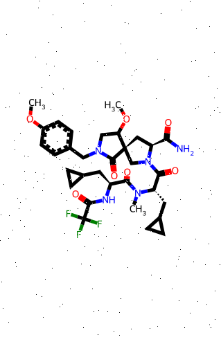 COc1ccc(CN2CC(OC)[C@@]3(C[C@@H](C(N)=O)N(C(=O)[C@H](CC4CC4)N(C)C(=O)[C@H](CC4CC4)NC(=O)C(F)(F)F)C3)C2=O)cc1